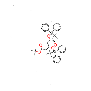 CC(C)(C)OC(=O)CC(CC(C=O)O[Si](c1ccccc1)(c1ccccc1)C(C)(C)C)O[Si](c1ccccc1)(c1ccccc1)C(C)(C)C